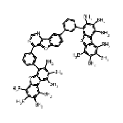 Bc1c(B)c(B)c2c(sc3c(-c4cccc(-c5ccc6oc7c(-c8cccc(-c9c(B)c(B)c(B)c%10c9sc9c(B)c(B)c(B)c(B)c9%10)c8)ncnc7c6c5)c4)c(B)c(B)c(B)c32)c1B